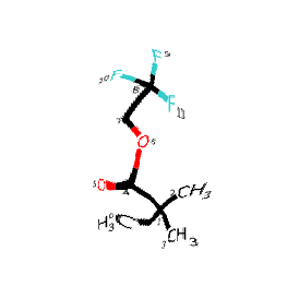 CC(C)(C)C(=O)OCC(F)(F)F